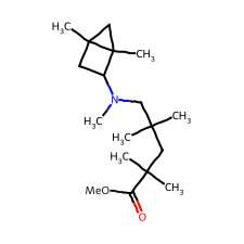 COC(=O)C(C)(C)CC(C)(C)CN(C)C1CC2(C)CC12C